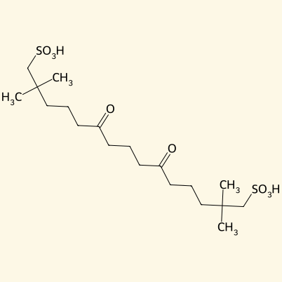 CC(C)(CCCC(=O)CCCC(=O)CCCC(C)(C)CS(=O)(=O)O)CS(=O)(=O)O